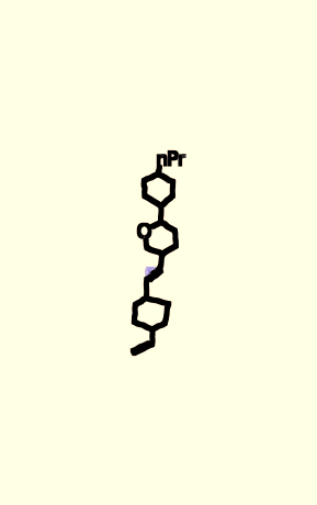 C=CC1CCC(/C=C/C2CCC(C3CCC(CCC)CC3)OC2)CC1